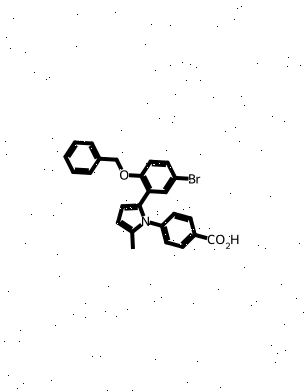 Cc1ccc(-c2cc(Br)ccc2OCc2ccccc2)n1-c1ccc(C(=O)O)cc1